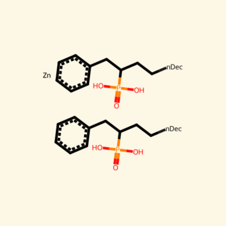 CCCCCCCCCCCCC(Cc1ccccc1)P(=O)(O)O.CCCCCCCCCCCCC(Cc1ccccc1)P(=O)(O)O.[Zn]